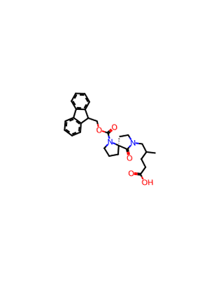 CC(CCC(=O)O)CN1CC[C@@]2(CCCN2C(=O)OCC2c3ccccc3-c3ccccc32)C1=O